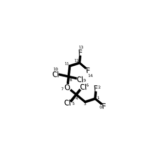 FC(F)CC(Cl)(Cl)OC(Cl)(Cl)CC(F)F